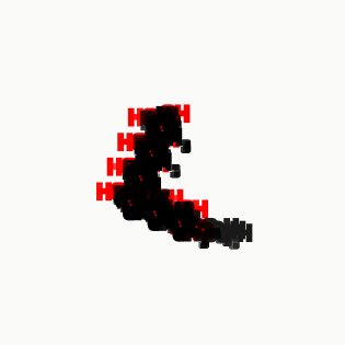 CN1CC[C@]23c4c5ccc(O)c4O[C@H]2[C@@H](O)C=C[C@H]3[C@H]1C5.CN1CC[C@]23c4c5ccc(O)c4O[C@H]2[C@@H](O)C=C[C@H]3[C@H]1C5.CN1CC[C@]23c4c5ccc(O)c4O[C@H]2[C@@H](O)C=C[C@H]3[C@H]1C5.CN1CC[C@]23c4c5ccc(O)c4O[C@H]2[C@@H](O)C=C[C@H]3[C@H]1C5.CN1CC[C@]23c4c5ccc(O)c4O[C@H]2[C@@H](O)C=C[C@H]3[C@H]1C5.CN1CC[C@]23c4c5ccc(O)c4O[C@H]2[C@@H](O)C=C[C@H]3[C@H]1C5.O=S(=O)(O)O.O=S(=O)(O)O.O=S(=O)(O)O